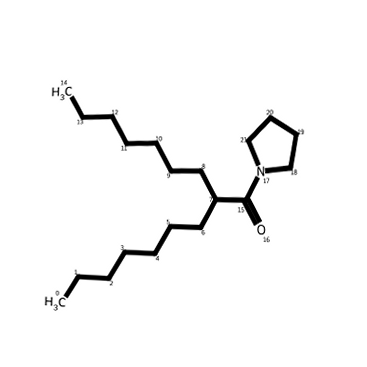 CCCCCCCC(CCCCCCC)C(=O)N1CCCC1